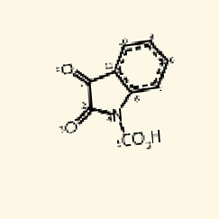 O=C1C(=O)N(C(=O)O)c2ccccc21